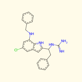 N=C(N)NC(Cc1ccccc1)c1cc2cc(Cl)cc(NCc3ccccc3)c2[nH]1